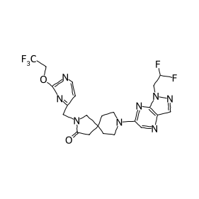 O=C1CC2(CCN(c3cnc4cnn(CC(F)F)c4n3)CC2)CN1Cc1ccnc(OCC(F)(F)F)n1